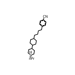 CCC[SiH]1CCC(C2CCC(CCCCc3ccc(C#N)cc3)CC2)CC1